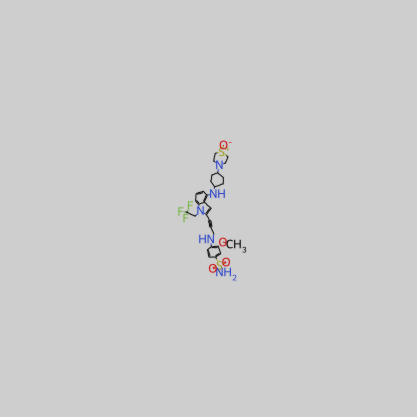 COc1cc(S(N)(=O)=O)ccc1NCC#Cc1cc2c(NC3CCC(N4CC[S+]([O-])CC4)CC3)cccc2n1CC(F)(F)F